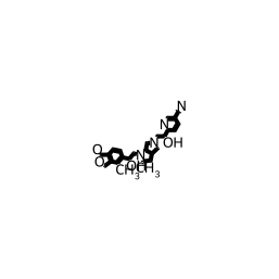 Cc1c(C(O)CN2C(C)CC3CN(CC(O)c4ccc(C#N)cn4)CC32)ccc2c1COC2=O